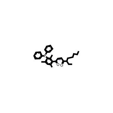 CCCCCC(CC)C(=O)/C=C\C(=O)c1c(C)cc(C)c(P(c2ccccc2)c2ccccc2)c1C